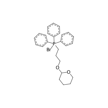 BrP(CCCOC1CCCCO1)(c1ccccc1)(c1ccccc1)c1ccccc1